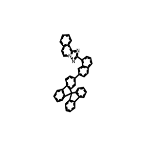 c1ccc2c(c1)-c1ccccc1C21c2ccccc2-c2ccc(-c3ccc4cccc(-c5nc6c7ccccc7ccn6n5)c4c3)cc21